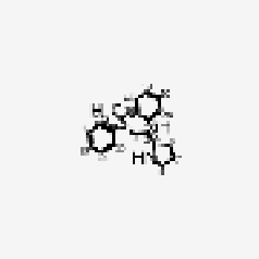 C[Si](C[C@@H](O)[C@H]1CCCN1)(c1ccccc1)c1ccccc1